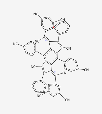 N#CC1=C(c2ccccc2)/C(=C(/C#N)c2cc(C#N)cc(C#N)c2)c2c1c(-c1ccc(C#N)cc1)c1c(c2-c2ccc(C#N)cc2)C(C#N)=C(c2ccccc2)/C1=C(/C#N)c1cc(C#N)cc(C#N)c1